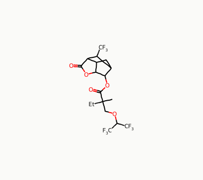 CCC(C)(COC(C(F)(F)F)C(F)(F)F)C(=O)OC1C2CC3C1OC(=O)C3C2C(F)(F)F